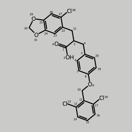 O=C(O)C(Cc1ccc(OCc2c(Cl)cccc2Cl)cc1)Cc1cc2c(cc1Cl)OCO2